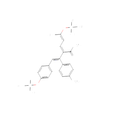 C=C(OC)C(=C\C=C(/C)O[Si](C)(C)C(C)(C)C)/C(=C/c1ccc(O[Si](C)(C)C(C)(C)C)cc1)c1ccc(OC)cc1